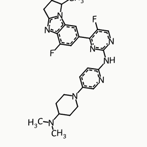 CC1CCc2nc3c(F)cc(-c4nc(Nc5ccc(N6CCC(N(C)C)CC6)cn5)ncc4F)cc3n21